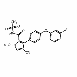 Cn1cc(C#N)c(-c2ccc(Oc3cccc(F)c3)cc2)c1C(=O)NS(C)(=O)=O